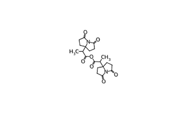 CC(C(=O)OC(=O)C(C)C12CCC(=O)N1C(=O)CC2)C12CCC(=O)N1C(=O)CC2